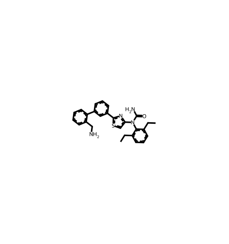 CCc1cccc(CC)c1N(C(N)=O)c1csc(-c2cccc(-c3ccccc3CN)c2)n1